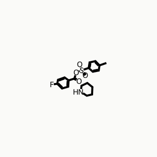 C1CCNCC1.Cc1ccc(S(=O)(=O)OC(=O)c2ccc(F)cc2)cc1